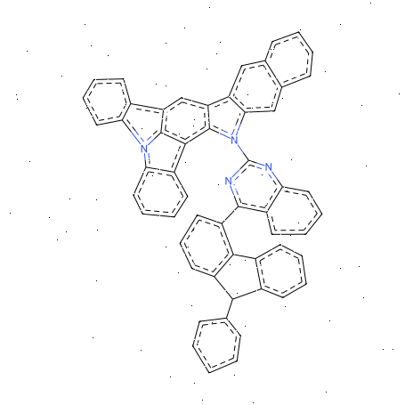 c1ccc(C2c3ccccc3-c3c(-c4nc(-n5c6cc7ccccc7cc6c6cc7c8ccccc8n8c9ccccc9c(c65)c78)nc5ccccc45)cccc32)cc1